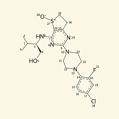 CC(C)[C@H](CO)Nc1nc(N2CCN(c3ccc(Cl)cc3F)CC2)nc2c1[S+]([O-])CC2